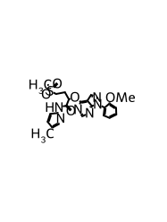 COc1ccccc1-n1ncc2c(OC(CCS(C)(=O)=O)C(=O)Nc3ccc(C)cn3)ncnc21